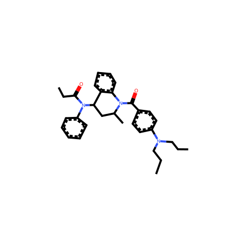 CCCN(CCC)c1ccc(C(=O)N2c3ccccc3C(N(C(=O)CC)c3ccccc3)CC2C)cc1